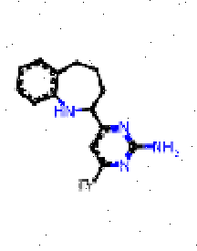 CC(C)c1cc(C2CCCc3ccccc3N2)nc(N)n1